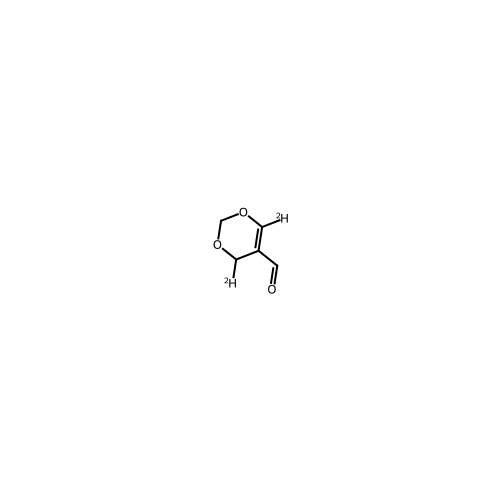 [2H]C1=C(C=O)C([2H])OCO1